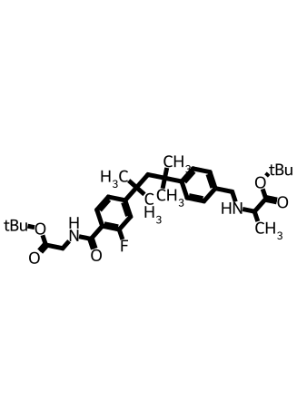 CC(NCc1ccc(C(C)(C)CC(C)(C)c2ccc(C(=O)NCC(=O)OC(C)(C)C)c(F)c2)cc1)C(=O)OC(C)(C)C